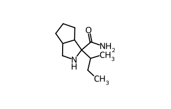 CCC(C)C1(C(N)=O)NCC2CCCC21